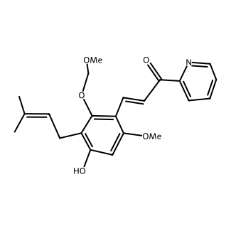 COCOc1c(C=CC(=O)c2ccccn2)c(OC)cc(O)c1CC=C(C)C